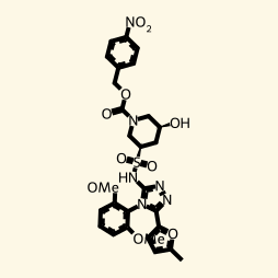 COc1cccc(OC)c1-n1c(NS(=O)(=O)[C@@H]2C[C@H](O)CN(C(=O)OCc3ccc([N+](=O)[O-])cc3)C2)nnc1-c1ccc(C)o1